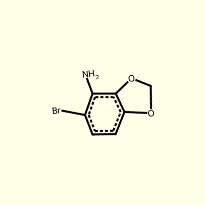 Nc1c(Br)ccc2c1OCO2